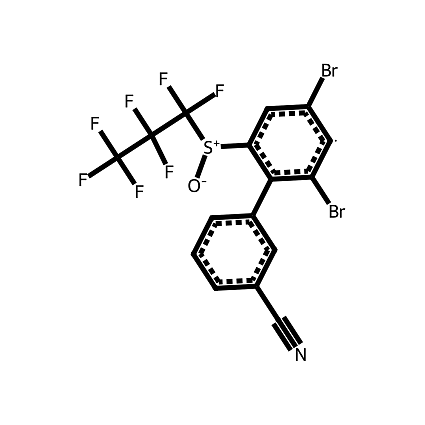 N#Cc1cccc(-c2c(Br)[c]c(Br)cc2[S+]([O-])C(F)(F)C(F)(F)C(F)(F)F)c1